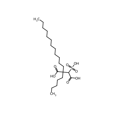 CCCCCCCCCCCCC(CCCCC)(C(=O)O)C(C(=O)O)S(=O)(=O)O